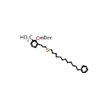 CCCCCCCCCCOc1c(CCCSCCCCCCCCCCCCc2ccccc2)cccc1C(=O)O